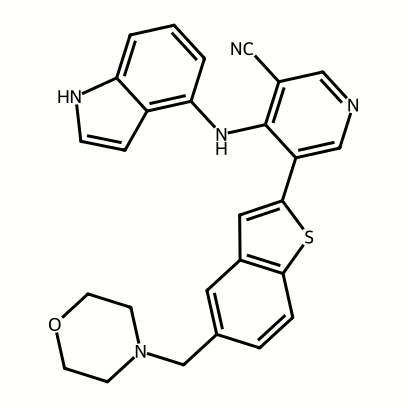 N#Cc1cncc(-c2cc3cc(CN4CCOCC4)ccc3s2)c1Nc1cccc2[nH]ccc12